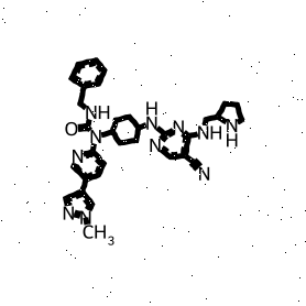 Cn1cc(-c2ccc(N(C(=O)NCc3ccccc3)C3CCC(Nc4ncc(C#N)c(NCC5CCCN5)n4)CC3)nc2)cn1